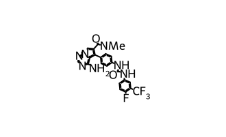 CNC(=O)c1cn2ncnc(N)c2c1-c1ccc(NC(=O)Nc2ccc(F)c(C(F)(F)F)c2)cc1